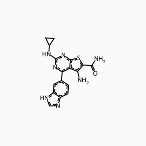 NC(=O)c1sc2nc(NC3CC3)nc(-c3ccc4nc[nH]c4c3)c2c1N